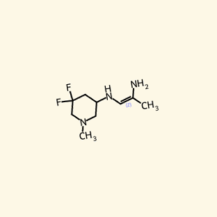 C/C(N)=C/NC1CN(C)CC(F)(F)C1